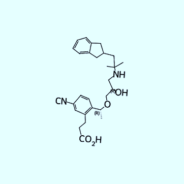 [C-]#[N+]c1ccc([C@@H](C)OC[C@H](O)CNC(C)(C)CC2Cc3ccccc3C2)c(CCC(=O)O)c1